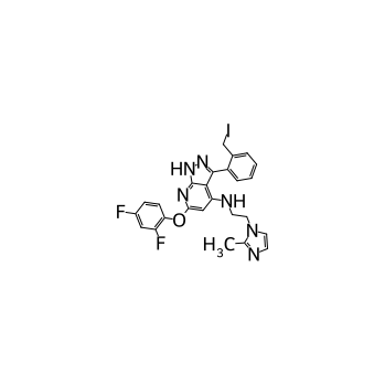 Cc1nccn1CCNc1cc(Oc2ccc(F)cc2F)nc2[nH]nc(-c3ccccc3CI)c12